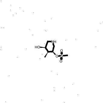 C[C@H]1[C@@H](O)CNC[C@H]1OS(C)(=O)=O